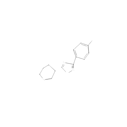 Cl.Fc1ccc(-c2noc([C@H]3CCCNC3)n2)cc1